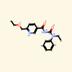 CCOCc1ccc(C(=O)NC(=O)N(CC)c2ccccc2)cn1